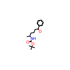 CC(CCCC(=O)c1ccccc1)NC(=O)OC(C)(C)C